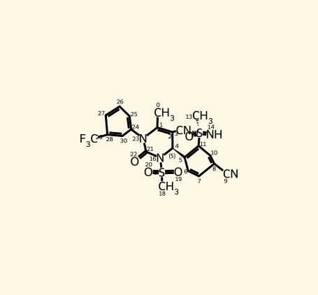 CC1=C(C#N)[C@@H](c2ccc(C#N)cc2[S@](C)(=N)=O)N(S(C)(=O)=O)C(=O)N1c1cccc(C(F)(F)F)c1